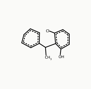 CC(c1ccccc1)c1c(O)cccc1Cl